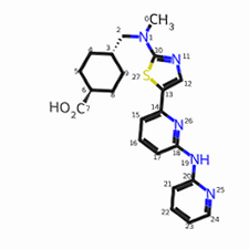 CN(C[C@H]1CC[C@H](C(=O)O)CC1)c1ncc(-c2cccc(Nc3ccccn3)n2)s1